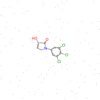 O=C1C(O)=CCN1c1cc(Cl)c(Cl)c(Cl)c1